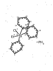 C[CH2][Hg]([Cl])([c]1ccccc1)([c]1ccccc1)[c]1ccccc1.P